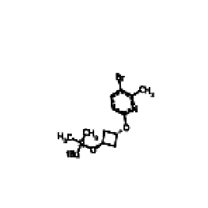 Cc1nc(O[C@H]2C[C@H](O[Si](C)(C)C(C)(C)C)C2)ccc1Br